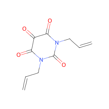 C=CCN1C(=O)C(=O)C(=O)N(CC=C)C1=O